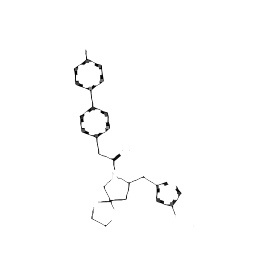 Cc1csc(CC2CC3(CN2C(=O)Cc2ccc(-c4ccc(F)cc4)cc2)OCCO3)c1